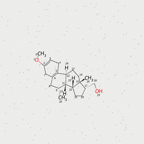 COC1=CCC2=C(C1)C[C@@H](C)[C@@H]1[C@@H]2CC[C@]2(C)[C@H](CO)CC[C@H]12